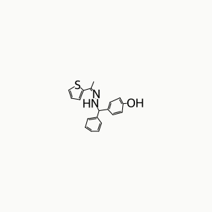 CC(=NNC(c1ccccc1)c1ccc(O)cc1)c1cccs1